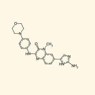 Cn1c(=O)c(Nc2ccc(N3CCOCC3)cc2)nc2ccc(-c3cnc(N)[nH]3)cc21